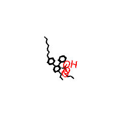 CCCCCCCc1ccc(-c2ccc(C(CC)OCCC)c(C(=O)O)c2-c2ccccc2)cc1